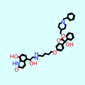 O=C(OCC1CCN(Cc2ccccc2)CC1)C(O)(c1ccccc1)c1ccc(OCCCCCNCC(O)c2ccc(O)c3[nH]c(=O)ccc23)cc1